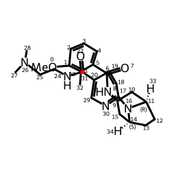 COc1cccc(C(=O)N[C@H]2C[C@H]3CC[C@@H](C2)N3c2ccc(C(=O)NCCN(C)C)cn2)c1C